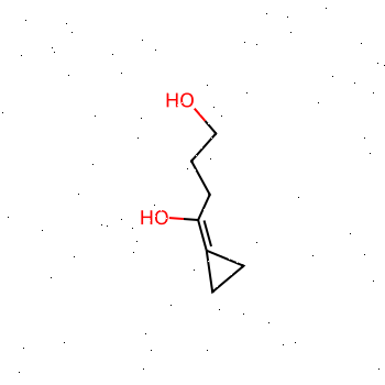 OCCCC(O)=C1CC1